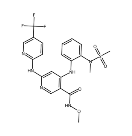 CONC(=O)c1cnc(Nc2ccc(C(F)(F)F)cn2)cc1Nc1ccccc1N(C)S(C)(=O)=O